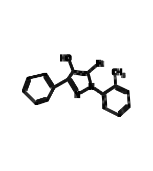 CCc1c(O)c(-c2ccccc2)nn1-c1ccccc1C